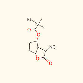 [C-]#[N+]C1C(=O)OC2CCC(OC(=O)C(C)(C)CC)C21